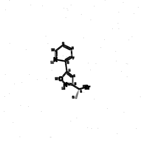 C[C@@H](Br)c1cc(-c2ccccn2)on1